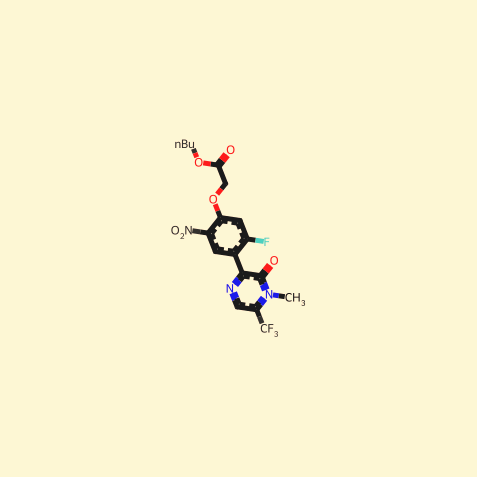 CCCCOC(=O)COc1cc(F)c(-c2ncc(C(F)(F)F)n(C)c2=O)cc1[N+](=O)[O-]